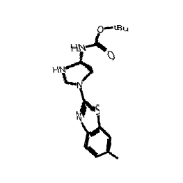 Cc1ccc2nc(N3CN[C@@H](NC(=O)OC(C)(C)C)C3)sc2c1